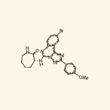 COc1ccc(-c2nc3c4cc(Br)ccc4nc(N[C@@H]4CCCCNC4=O)n3n2)cc1